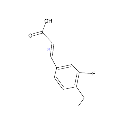 CCc1ccc(/C=C/C(=O)O)cc1F